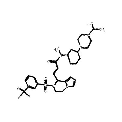 CC(C)N1CCN([C@H]2CCC[C@@H](N(C)C(=O)CCC3c4cccn4CCN3S(=O)(=O)c3cccc(C(F)(F)F)c3)C2)CC1